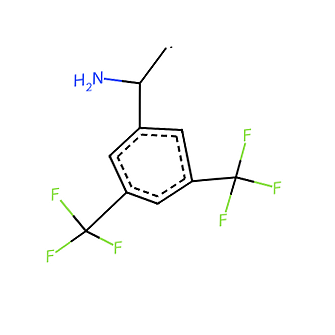 [CH2]C(N)c1cc(C(F)(F)F)cc(C(F)(F)F)c1